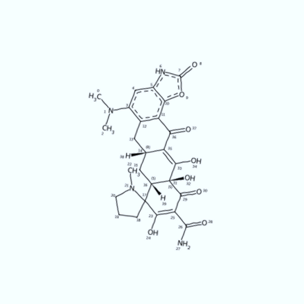 CN(C)c1cc2[nH]c(=O)oc2c2c1C[C@H]1C[C@H]3C4(CCCN4C)C(O)=C(C(N)=O)C(=O)[C@@]3(O)C(O)=C1C2=O